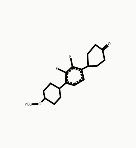 CCCCOC1CCC(c2ccc(C3CCC(=O)CC3)c(F)c2F)CC1